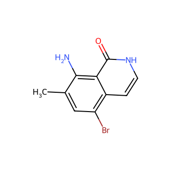 Cc1cc(Br)c2cc[nH]c(=O)c2c1N